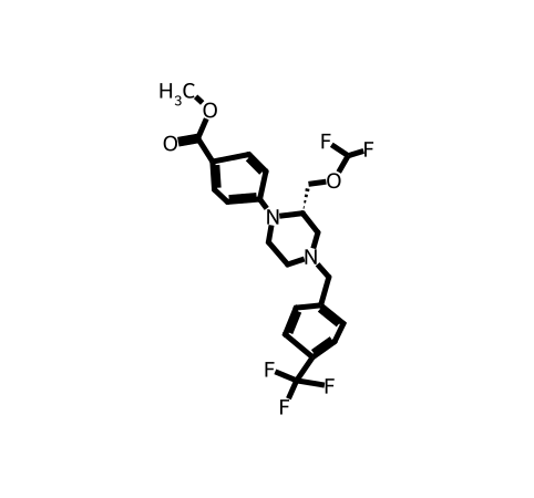 COC(=O)c1ccc(N2CCN(Cc3ccc(C(F)(F)F)cc3)C[C@H]2COC(F)F)cc1